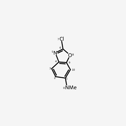 CNc1ccc2nc(Cl)oc2c1